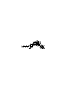 CCCCCCCSc1ccc(-c2ccc(O[C@H](C)C(=O)OCc3ccccc3)cc2)cc1